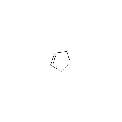 [C]1N=CCS1